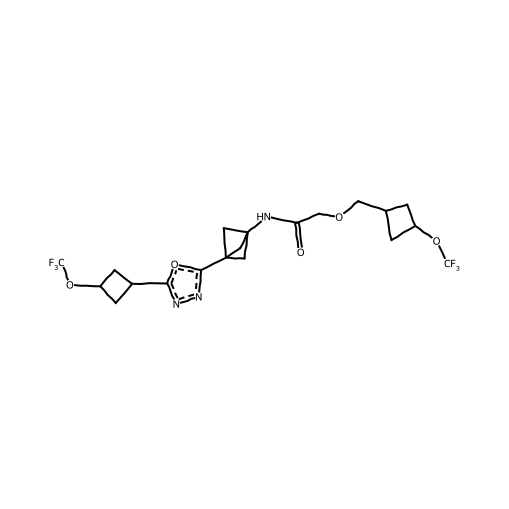 O=C(COCC1CC(OC(F)(F)F)C1)NC12CC(c3nnc(C4CC(OC(F)(F)F)C4)o3)(C1)C2